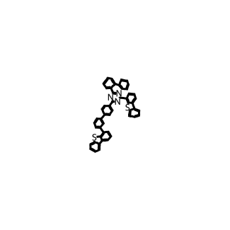 c1ccc(-c2ccccc2-c2nc(-c3ccc(-c4cccc(-c5cccc6c5sc5ccccc56)c4)cc3)nc(-c3cccc4c3sc3ccccc34)n2)cc1